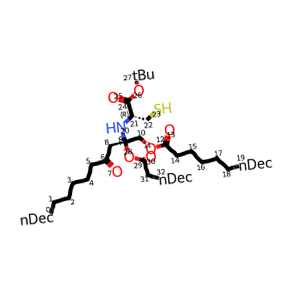 CCCCCCCCCCCCCCCC(=O)C[C@](COC(=O)CCCCCCCCCCCCCCC)(N[C@@H](CS)C(=O)OC(C)(C)C)OC(=O)CCCCCCCCCCC